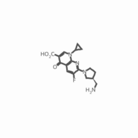 NC[C@@H]1CCN(c2nc3c(cc2F)c(=O)c(C(=O)O)cn3C2CC2)C1